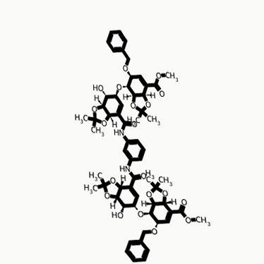 COC(=O)C1=C[C@H](OCc2ccccc2)[C@@H](O[C@H]2C=C(C(=O)Nc3cccc(NC(=O)C4=C[C@H](O[C@H]5[C@@H]6OC(C)(C)O[C@@H]6C(C(=O)OC)=C[C@@H]5OCc5ccccc5)[C@@H](O)[C@@H]5OC(C)(C)O[C@H]45)c3)[C@H]3OC(C)(C)O[C@H]3[C@@H]2O)[C@@H]2OC(C)(C)O[C@H]12